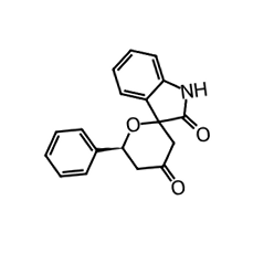 O=C1C[C@@H](c2ccccc2)OC2(C1)C(=O)Nc1ccccc12